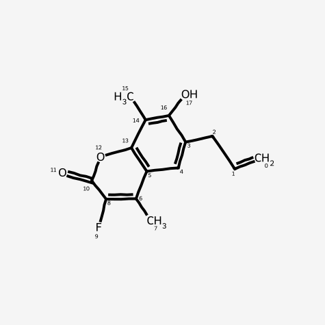 C=CCc1cc2c(C)c(F)c(=O)oc2c(C)c1O